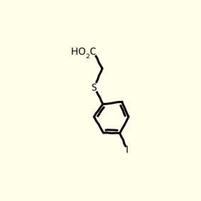 O=C(O)CSc1ccc(I)cc1